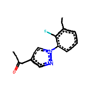 CC(=O)c1cnn(-c2cccc(C)c2F)c1